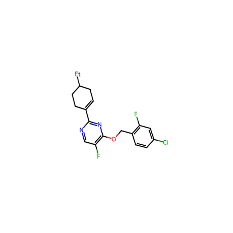 CCC1CC=C(c2ncc(F)c(OCc3ccc(Cl)cc3F)n2)CC1